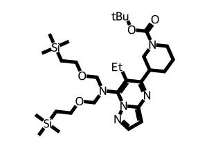 CCc1c(C2CCCN(C(=O)OC(C)(C)C)C2)nc2ccnn2c1N(COCC[Si](C)(C)C)COCC[Si](C)(C)C